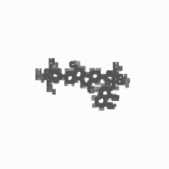 CC1(C)OB(c2ccc3c(c2)c(Cl)cc2c4ccc(B5OC(C)(C)C(C)(Cc6ccc7cccc(Br)c7c6Br)O5)cc4c(Cl)cc32)OC1(C)C